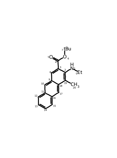 CCNc1c(C(=O)OC(C)(C)C)cc2cc3ccccc3cc2c1C